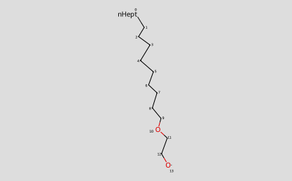 CCCCCCCCCCCCCCCCOCC[O]